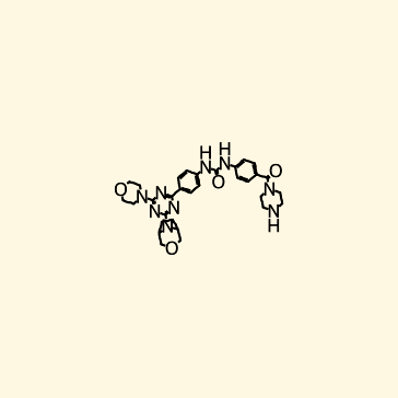 O=C(Nc1ccc(C(=O)N2CCNCC2)cc1)Nc1ccc(-c2nc(N3CCOCC3)nc(N3C4CCC3COC4)n2)cc1